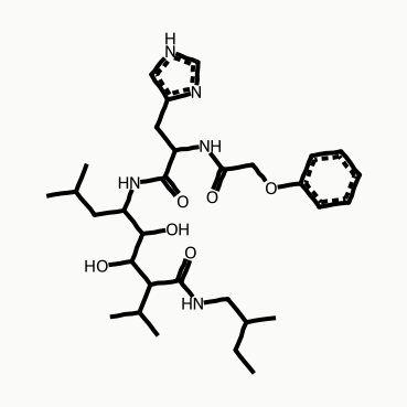 CCC(C)CNC(=O)C(C(C)C)C(O)C(O)C(CC(C)C)NC(=O)C(Cc1c[nH]cn1)NC(=O)COc1ccccc1